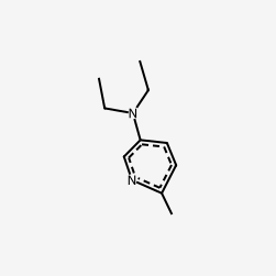 CCN(CC)c1ccc(C)nc1